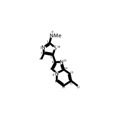 CNc1nc(C)c(-c2cn3ccc(C)cc3n2)s1